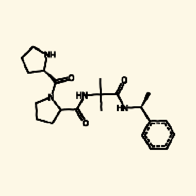 C[C@H](NC(=O)C(C)(C)NC(=O)C1CCCN1C(=O)[C@H]1CCCN1)c1ccccc1